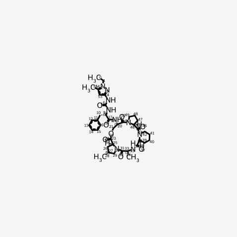 CCn1nc(NC(=O)N[C@@H](Cc2ccccc2)C(=O)N[C@H]2COC(=O)[C@@H]3C[C@@H](C)CN3C(=O)[C@H](C)NC(=O)[C@@H]3CCCCN3C(=O)[C@@H]3CCCN3C2=O)cc1C